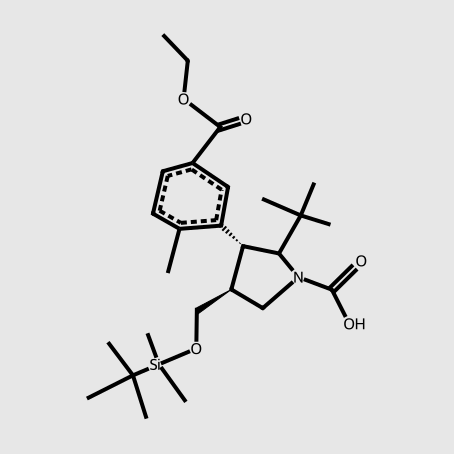 CCOC(=O)c1ccc(C)c([C@@H]2C(C(C)(C)C)N(C(=O)O)C[C@H]2CO[Si](C)(C)C(C)(C)C)c1